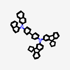 c1ccc2c(c1)-c1ccc(N(c3ccc(-c4ccc(N(c5ccc6ccccc6c5)c5cccc6ccccc56)cc4)cc3)c3ccc4c(c3)C3(CCCC3)c3ccccc3-4)cc1C21CCCC1